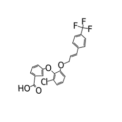 O=C(O)c1cccc(Oc2c(Cl)cccc2OCC=Cc2ccc(C(F)(F)F)cc2)c1